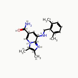 Cc1cccc(C)c1CNc1cc(C(N)=O)cn2c(C)c(C)nc12